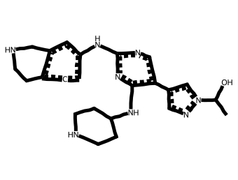 CC(O)n1cc(-c2cnc(Nc3ccc4c(c3)CNCC4)nc2NC2CCNCC2)cn1